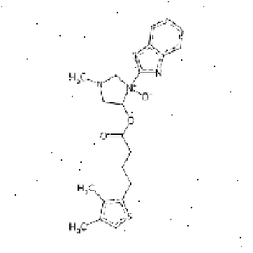 Cc1csc(CCCC(=O)OC2CN(C)C[N+]2([O-])c2nc3ccccc3s2)c1C